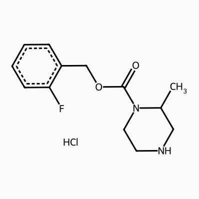 CC1CNCCN1C(=O)OCc1ccccc1F.Cl